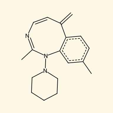 C=C1/C=C\N=C(\C)N(N2CCCCC2)c2cc(C)ccc21